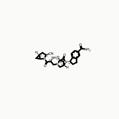 N#C[C@@H]1C[C@@H]2CC2N1C(=O)[C@@H](N)CN1C[C@@H]2C[C@H]1C(=O)N2[C@H]1CCc2cc(C(N)=O)ccc21